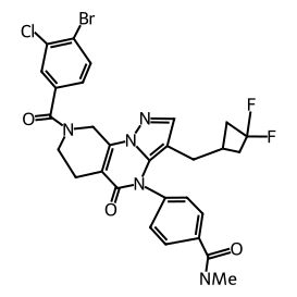 CNC(=O)c1ccc(-n2c(=O)c3c(n4ncc(CC5CC(F)(F)C5)c24)CN(C(=O)c2ccc(Br)c(Cl)c2)CC3)cc1